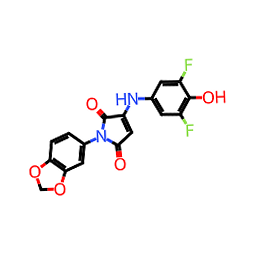 O=C1C=C(Nc2cc(F)c(O)c(F)c2)C(=O)N1c1ccc2c(c1)OCO2